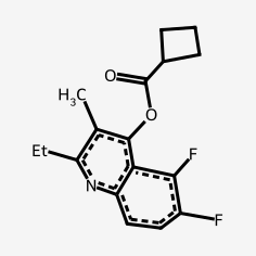 CCc1nc2ccc(F)c(F)c2c(OC(=O)C2CCC2)c1C